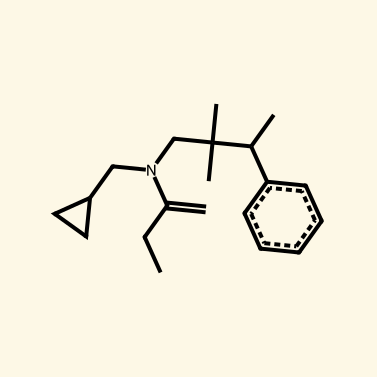 C=C(CC)N(CC1CC1)CC(C)(C)C(C)c1ccccc1